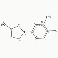 Cc1ccc(N2CCC(O)C2)cc1O